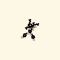 C=C(C)C(CC=C(C)C)CC12CC(CC=C(C)C)C(C)(C)C(CC=C(C)C)(C(=O)C(C(=O)c3ccc(OCc4ccc(Cl)cc4)c(OCc4ccc(Cl)cc4)c3)=C1O)C2O